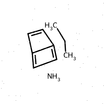 CCC.N.c1cc2ccc1-2